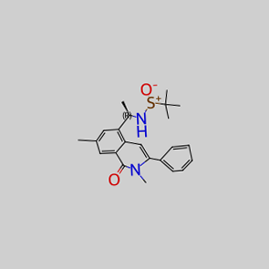 Cc1cc([C@@H](C)N[S+]([O-])C(C)(C)C)c2cc(-c3ccccc3)n(C)c(=O)c2c1